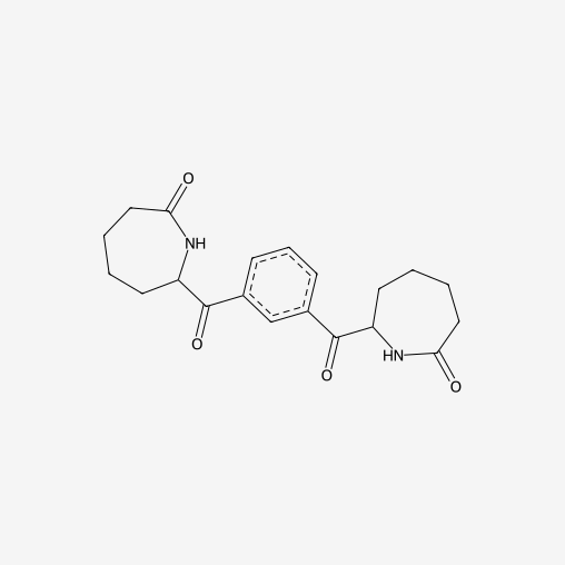 O=C1CCCCC(C(=O)c2cccc(C(=O)C3CCCCC(=O)N3)c2)N1